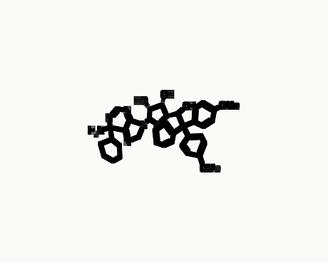 COc1ccc(C(c2ccccc2)(c2ccc(OC)cc2)C(O)[C@H]2O[C@@H](N3CN=C4C3=NC=NC4(N)C3CCCCC3)[C@H](O)[C@@H]2O)cc1